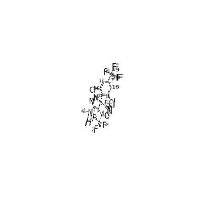 CNC1=C(C(=O)C(F)(F)F)C(C#N)(c2c(Cl)cc(C(F)(F)F)cc2Cl)N=N1